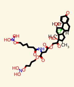 C[C@H]1CC2[C@@H]3CCC4=CC(=O)C=C[C@]4(C)C3(Cl)[C@@H](O)C[C@]2(C)[C@@]1(O)C(=O)COC(=O)CC(NC(=O)CCCCCON(O)O)C(=O)OCCCCON(O)O